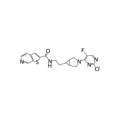 O=C(NCCC1C2CN(c3nc(Cl)ncc3F)CC12)c1cc2ccncc2s1